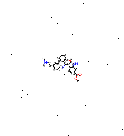 COC(=O)c1ccc2c(c1)NC(=O)C2=C(Nc1ccc(CCN(C)C)cc1)c1ccccc1